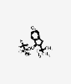 CC(C)(C)C1Cc2ccccc2C1=O.O=S(=O)(O)C(F)(F)F.[Cu]